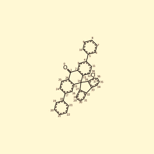 O=C1c2cc(-c3ccccc3)ccc2C2(c3cc(-c4ccccc4)ccc31)c1ccccc1-c1cccc(Cl)c12